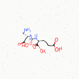 NC[C@H](NC(=O)N[C@@H](CCC(=O)O)C(=O)O)C(=O)O